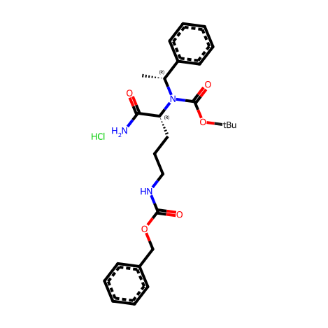 C[C@H](c1ccccc1)N(C(=O)OC(C)(C)C)[C@H](CCCNC(=O)OCc1ccccc1)C(N)=O.Cl